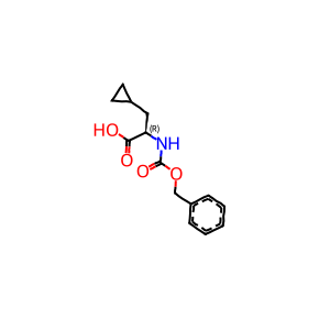 O=C(N[C@H](CC1CC1)C(=O)O)OCc1ccccc1